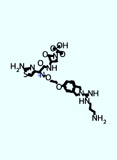 N=C(NCCCN)N1Cc2ccc(OCCO/N=C(\C(=O)NC3CN(S(=O)(=O)O)C3=O)c3csc(N)n3)cc2C1